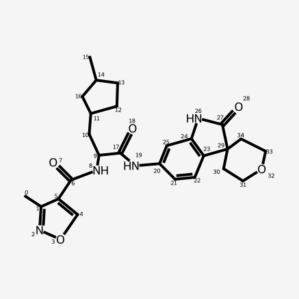 Cc1nocc1C(=O)NC(CC1CCC(C)C1)C(=O)Nc1ccc2c(c1)NC(=O)C21CCOCC1